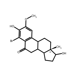 COc1cc2c(c(Br)c1O)C(=O)CC1C2CC[C@]2(C)C(O)CCC12